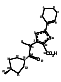 CN(c1cc(C2=CCCCC2)sc1C(=O)O)C(=O)[C@H]1CC[C@H](C)CC1